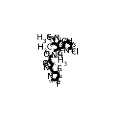 Cc1nn(C)c(C)c1C(C)(CNC(=O)c1cc(-c2ncc(F)cc2F)no1)c1cccc(Cl)n1